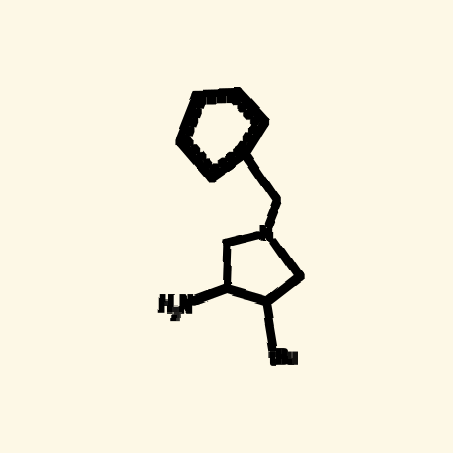 CC(C)(C)C1CN(Cc2ccccc2)CC1N